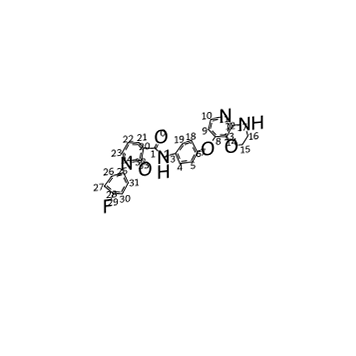 O=C(Nc1ccc(Oc2ccnc3c2OCCN3)cc1)c1cccn(-c2ccc(F)cc2)c1=O